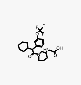 O=C(O)N[C@H]1CCCN(C(=O)C(c2cccc(OC(F)(F)F)c2)C2CCCCC2)C1